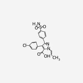 CC=Cn1nc(-c2ccc(S(N)(=O)=O)cc2)c(-c2ccc(Cl)cc2)c1C(=O)O